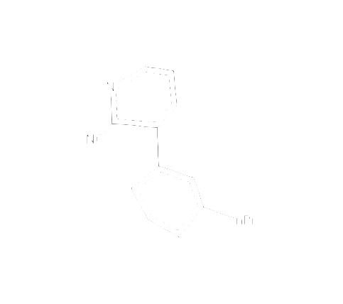 CCCc1cccc(-c2cccnc2C#N)c1